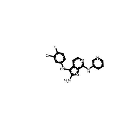 Nc1oc2c(Nc3cccnc3)nccc2c1Nc1ccc(F)c(Cl)c1